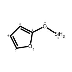 [SiH3]Oc1ccco1